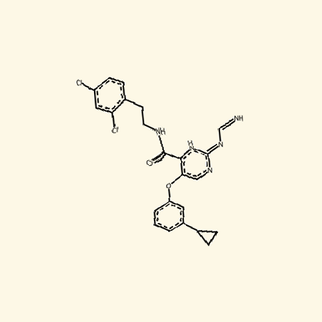 N=C/N=c1/ncc(Oc2cccc(C3CC3)c2)c(C(=O)NCCc2ccc(Cl)cc2Cl)[nH]1